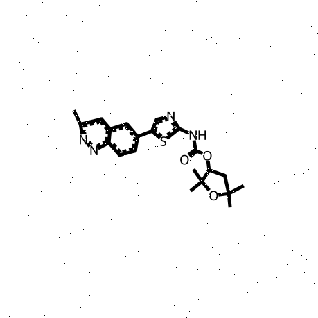 Cc1cc2cc(-c3cnc(NC(=O)OC4CC(C)(C)OC4(C)C)s3)ccc2nn1